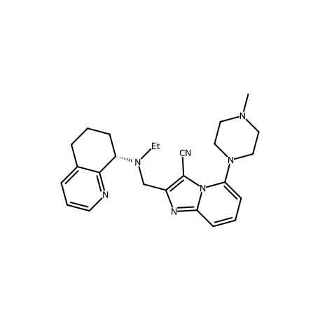 CCN(Cc1nc2cccc(N3CCN(C)CC3)n2c1C#N)[C@H]1CCCc2cccnc21